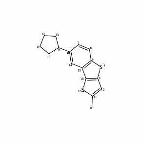 Cc1cc2sc3ccc(C4CCCC4)cc3c2s1